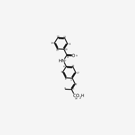 CC(=Cc1ccc(NC(=O)c2ccccc2)cc1)C(=O)O